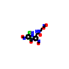 O=NOCCNC(=O)Cc1cc(N=O)cc(N=O)c1Nc1c(Cl)cc(N=O)cc1Cl